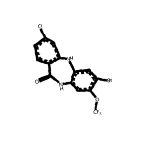 O=C1Nc2cc(OC(F)(F)F)c(Br)cc2Nc2cc(Cl)ccc21